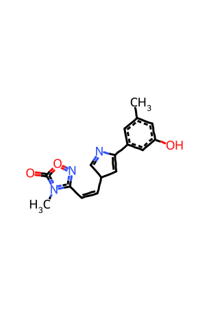 Cc1cc(O)cc(C2=CC(/C=C\c3noc(=O)n3C)C=N2)c1